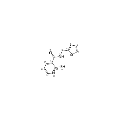 O=C(NCc1cccs1)c1cccnc1S